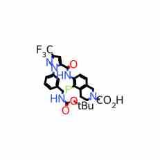 CC(C)(C)OC(=O)NCc1cccc(-n2nc(C(F)(F)F)cc2C(=O)Nc2ccc3c(c2F)CCN(C(=O)O)C3)c1